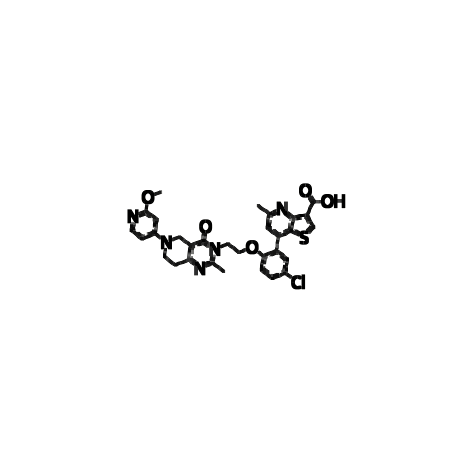 COc1cc(N2CCc3nc(C)n(CCOc4ccc(Cl)cc4-c4cc(C)nc5c(C(=O)O)csc45)c(=O)c3C2)ccn1